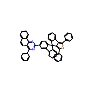 c1ccc(-c2sc(-c3ccccc3)c3c2-c2ccccc2C32c3ccccc3-c3cc(-c4nc(-c5ccccc5)c5ccc6ccccc6c5n4)ccc32)cc1